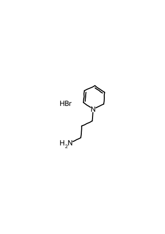 Br.NCCCN1C=CC=CC1